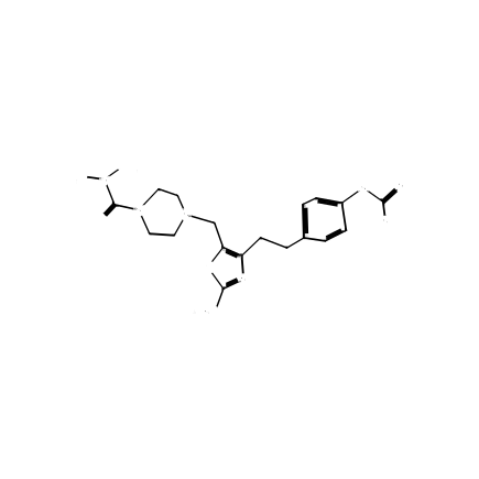 CC(=O)Nc1nc(CCc2ccc(NC(=N)N)cc2)c(CN2CCN(C(=O)N(C)C)CC2)s1